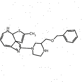 CC1=CC23C=C(N4CCNC(COCc5ccccc5)C4)N=CC2=CC=CNC3S1